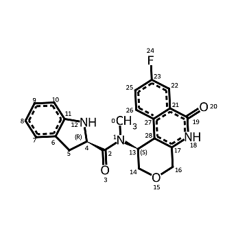 CN(C(=O)[C@H]1Cc2ccccc2N1)[C@@H]1COCc2[nH]c(=O)c3cc(F)ccc3c21